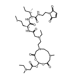 CC[C@H](C)[C@H](NC(=O)[C@H](CCSC)NC(=O)CN(CC)CCN1CCN(C)CC(=O)OC(OC(=O)CN(C)CC)OC(=O)C1)C(=O)NCCN1C(=O)C=CC1=O